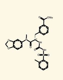 COC(=O)c1cccc(C[C@H](NC(=O)NS(=O)(=O)c2ccccc2C)C(=O)N(C)c2ccc3c(c2)OCO3)c1